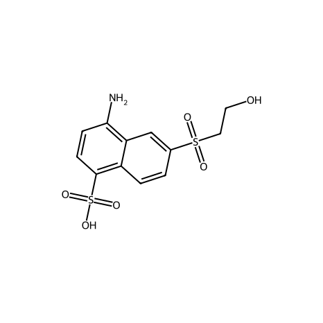 Nc1ccc(S(=O)(=O)O)c2ccc(S(=O)(=O)CCO)cc12